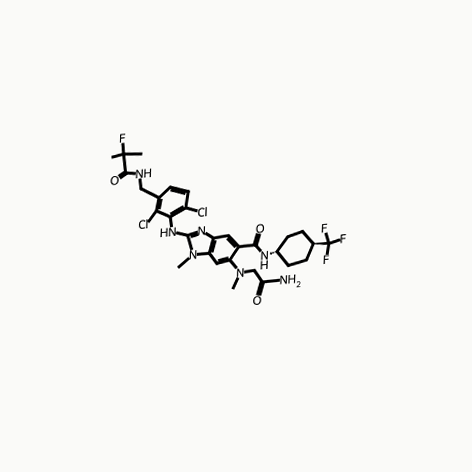 CN(CC(N)=O)c1cc2c(cc1C(=O)N[C@H]1CC[C@H](C(F)(F)F)CC1)nc(Nc1c(Cl)ccc(CNC(=O)C(C)(C)F)c1Cl)n2C